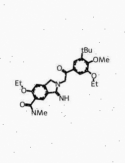 CCOc1cc2c(cc1C(=O)NC)C(=N)N(CC(=O)c1cc(OCC)c(OC)c(C(C)(C)C)c1)C2